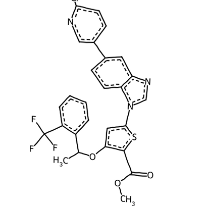 COC(=O)c1sc(-n2cnc3cc(-c4ccc(Cl)nc4)ccc32)cc1OC(C)c1ccccc1C(F)(F)F